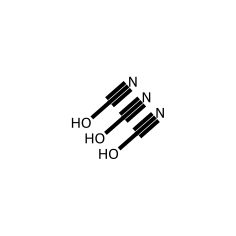 N#CO.N#CO.N#CO